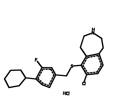 Cl.Fc1cc(CSc2c(Cl)ccc3c2CCNCC3)ccc1C1CCCCC1